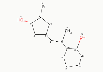 CC(CC1C[C@H](O)[C@H](C(C)C)C1)C1CCCCC1O